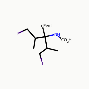 [CH2]CCCCC(NC(=O)O)(C(C)CI)C(C)CI